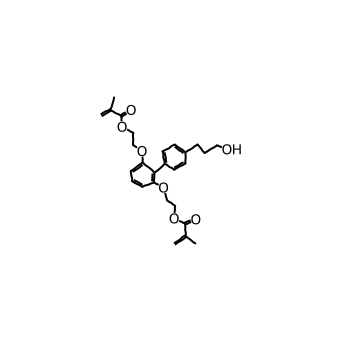 C=C(C)C(=O)OCCOc1cccc(OCCOC(=O)C(=C)C)c1-c1ccc(CCCO)cc1